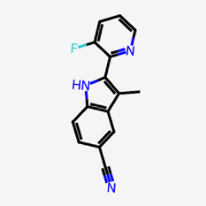 Cc1c(-c2ncccc2F)[nH]c2ccc(C#N)cc12